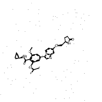 COc1cc(-c2cnc3cc(OCC4CCC(=O)N4)ccn23)cc(OC(F)F)c1C(=O)NC1CC1